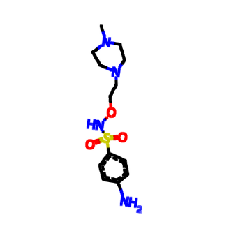 CN1CCN(CCONS(=O)(=O)c2ccc(N)cc2)CC1